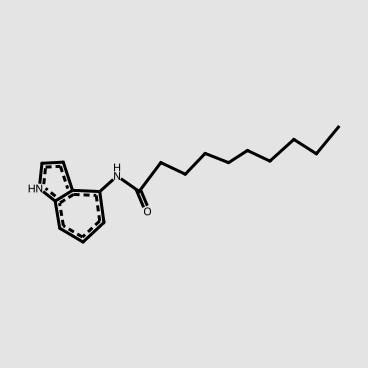 CCCCCCCCCC(=O)Nc1cccc2[nH]ccc12